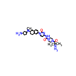 CN(C1CCc2cc(-n3ccc(NC(=O)N4CCN(C(=O)C(C)(C)N)CC4)nc3=O)ccc2C1)[C@H]1CCC(N)C1